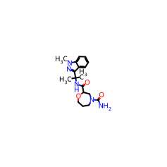 Cn1nc(C(C)(C)NC(=O)C2CN(C(N)=O)CCCO2)c2ccccc21